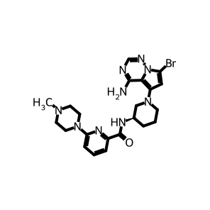 CN1CCN(c2cccc(C(=O)N[C@@H]3CCCN(c4cc(Br)n5ncnc(N)c45)C3)n2)CC1